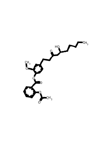 CCCCCC(O)CC(=O)CCc1ccc(OC(=O)c2ccccc2OC(C)=O)c(OC)c1